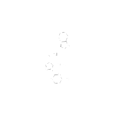 CCCCc1c(C(=O)NCc2c(C)nc3ccccn23)cnn1-c1ncc(C)c(N2CCCC2)n1